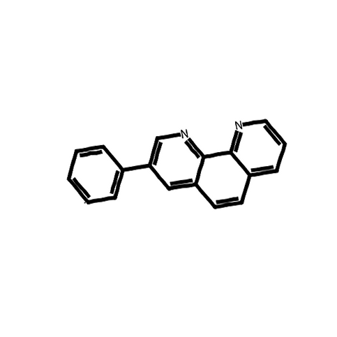 [c]1cccc(-c2cnc3c(ccc4cccnc43)c2)c1